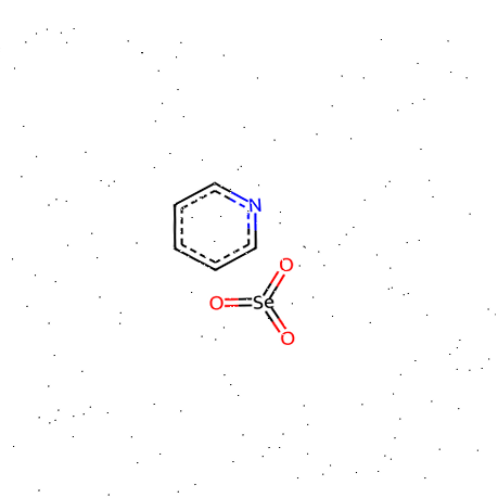 O=[Se](=O)=O.c1ccncc1